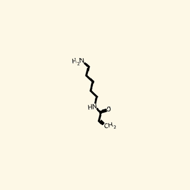 C=CC(=O)NCCCCCN